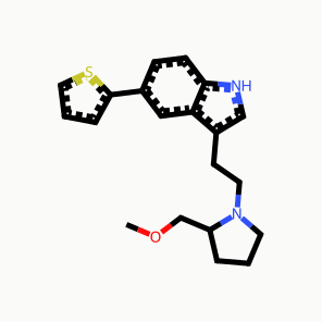 COCC1CCCN1CCc1c[nH]c2ccc(-c3cccs3)cc12